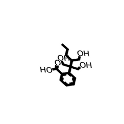 CCCC(CO)C(CO)(CO)c1ccccc1C(=O)O